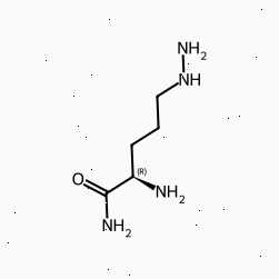 NNCCC[C@@H](N)C(N)=O